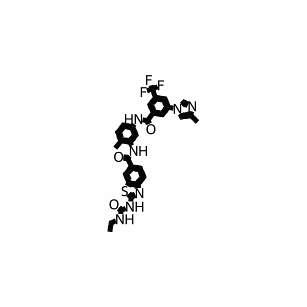 CCNC(=O)Nc1nc2ccc(C(=O)Nc3cc(NC(=O)c4cc(-n5cnc(C)c5)cc(C(F)(F)F)c4)ccc3C)cc2s1